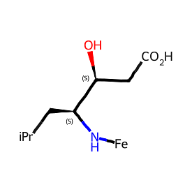 CC(C)C[C@H]([NH][Fe])[C@@H](O)CC(=O)O